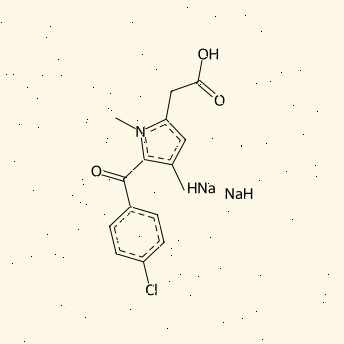 Cc1cc(CC(=O)O)n(C)c1C(=O)c1ccc(Cl)cc1.[NaH].[NaH]